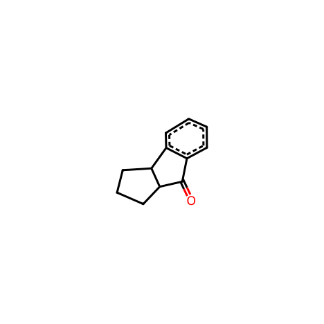 O=C1c2ccccc2C2CCCC12